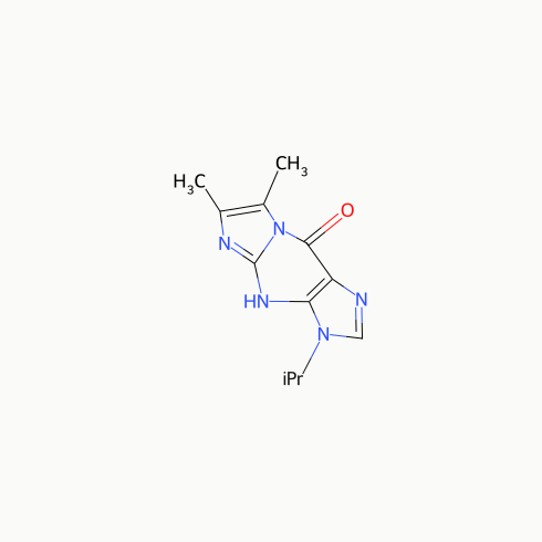 Cc1nc2[nH]c3c(ncn3C(C)C)c(=O)n2c1C